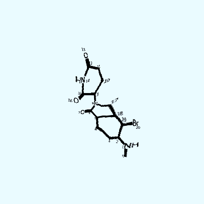 CNC1CCC2C(=O)N(C3CCC(=O)NC3=O)CC2C1Br